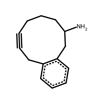 NC1CCCC#CCc2ccccc2C1